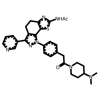 CC(=O)Nc1nc2c(s1)-c1c(c(-c3cccnc3)nn1-c1ccc(CC(=O)N3CCC(N(C)C)CC3)cc1)CC2